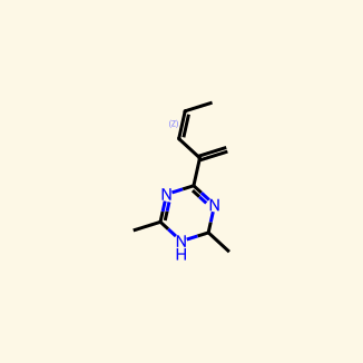 C=C(/C=C\C)C1=NC(C)NC(C)=N1